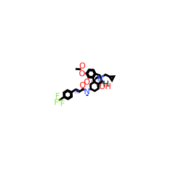 CC(=O)Oc1ccc2c3c1OC1C(N(C)C(=O)/C=C/c4ccc(C(F)(F)F)cc4)CC[C@@]4(O)[C@@H](C2)N(CC2CC2)CC[C@]314